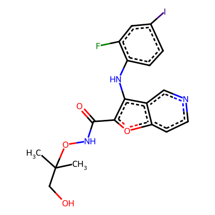 CC(C)(CO)ONC(=O)c1oc2ccncc2c1Nc1ccc(I)cc1F